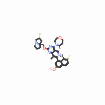 CCc1c(F)ccc2cc(O)cc(-c3ncc4c(N5CCOCC[C@H]5C)nc(OC[C@@]56CCCN5C[C@H](F)C6)nc4c3C)c12